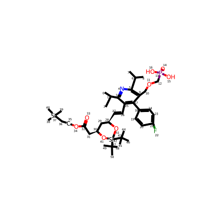 CC(C)c1nc(C(C)C)c(COCP(=O)(O)O)c(-c2ccc(F)cc2)c1/C=C/[C@@H]1C[C@H](CC(=O)OCC[Si](C)(C)C)O[Si](C(C)(C)C)(C(C)(C)C)O1